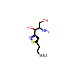 CCCCCCCCCCc1cc(C(O)C(N)CO)ns1